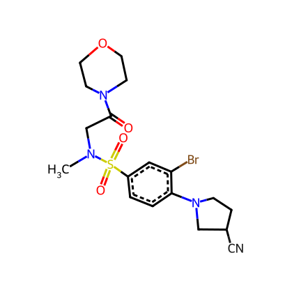 CN(CC(=O)N1CCOCC1)S(=O)(=O)c1ccc(N2CCC(C#N)C2)c(Br)c1